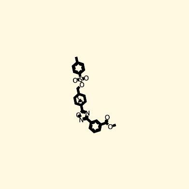 COC(=O)c1cccc(-c2noc(C34CCC(COS(=O)(=O)c5ccc(C)cc5)(CC3)CO4)n2)c1